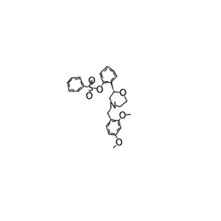 COc1ccc(CN2CCO[C@H](c3ccccc3OS(=O)(=O)c3ccccc3)C2)c(OC)c1